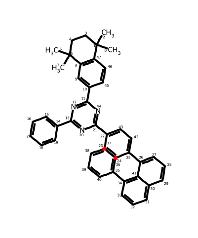 CC1(C)CCC(C)(C)c2cc(-c3nc(-c4ccccc4)nc(-c4ccc(-c5cccc6cccc(-c7ccccc7)c56)cc4)n3)ccc21